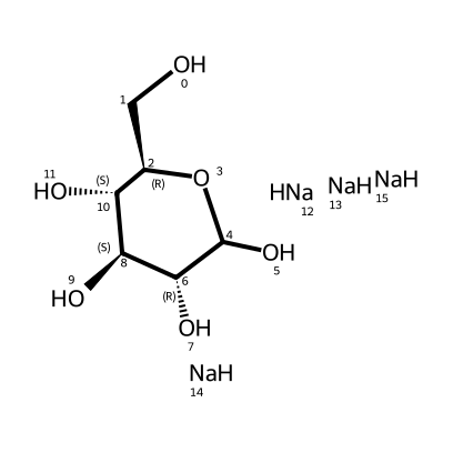 OC[C@H]1OC(O)[C@H](O)[C@@H](O)[C@@H]1O.[NaH].[NaH].[NaH].[NaH]